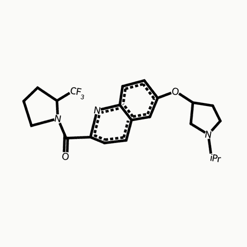 CC(C)N1CCC(Oc2ccc3nc(C(=O)N4CCCC4C(F)(F)F)ccc3c2)C1